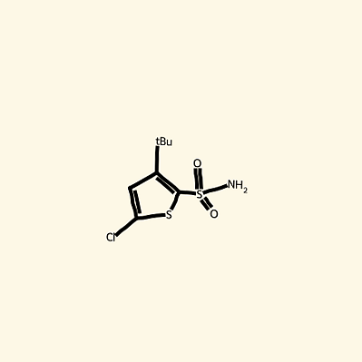 CC(C)(C)c1cc(Cl)sc1S(N)(=O)=O